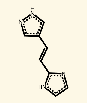 C(=Cc1ncc[nH]1)c1cn[nH]c1